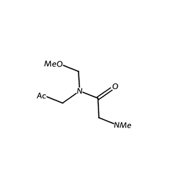 CNCC(=O)N(COC)CC(C)=O